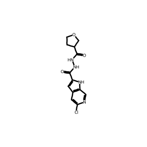 O=C(NNC(=O)C1CCOC1)c1cc2cc(Cl)ncc2[nH]1